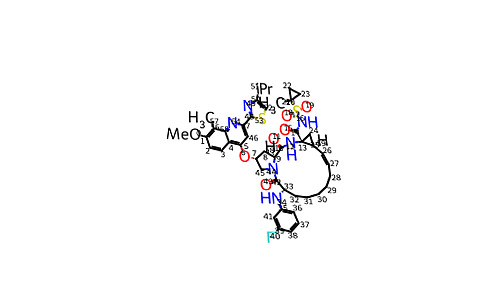 COc1ccc2c(O[C@@H]3C[C@H]4C(=O)N[C@]5(C(=O)NS(=O)(=O)C6(C)CC6)C[C@H]5/C=C\CCCCC[C@H](Nc5cccc(F)c5)C(=O)N4C3)cc(-c3nc(C(C)C)cs3)nc2c1C